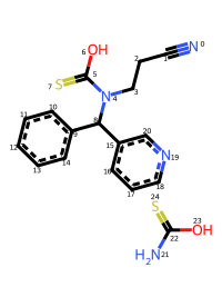 N#CCCN(C(O)=S)C(c1ccccc1)c1cccnc1.NC(O)=S